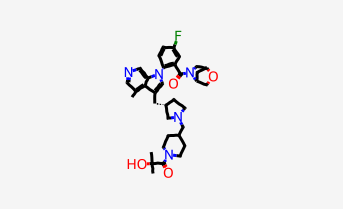 Cc1cncc2c1c(C[C@@H]1CCN(CC3CCN(C(=O)C(C)(C)O)CC3)C1)cn2-c1ccc(F)cc1C(=O)N1CC2CC1CO2